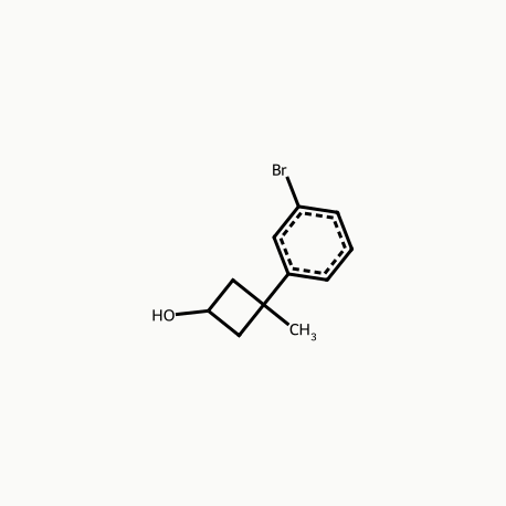 CC1(c2cccc(Br)c2)CC(O)C1